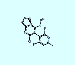 CCCSc1c(-c2c(F)cc(F)cc2F)c(Cl)nc2ncnn12